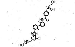 Cc1c(NC(=O)c2ccc(CN(O)CCO)cn2)cccc1-c1cccc(-c2nc3c(Cl)cc(CNCCO)cn3n2)c1C